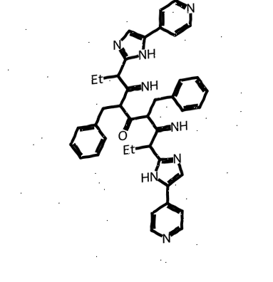 CCC(C(=N)C(Cc1ccccc1)C(=O)C(Cc1ccccc1)C(=N)C(CC)c1ncc(-c2ccncc2)[nH]1)c1ncc(-c2ccncc2)[nH]1